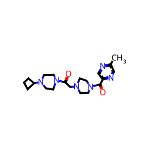 Cc1cnc(C(=O)N2CCN(CC(=O)N3CCN(C4CCC4)CC3)CC2)cn1